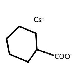 O=C([O-])C1CCCCC1.[Cs+]